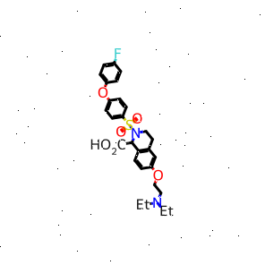 CCN(CC)CCOc1ccc2c(c1)CCN(S(=O)(=O)c1ccc(Oc3ccc(F)cc3)cc1)C2C(=O)O